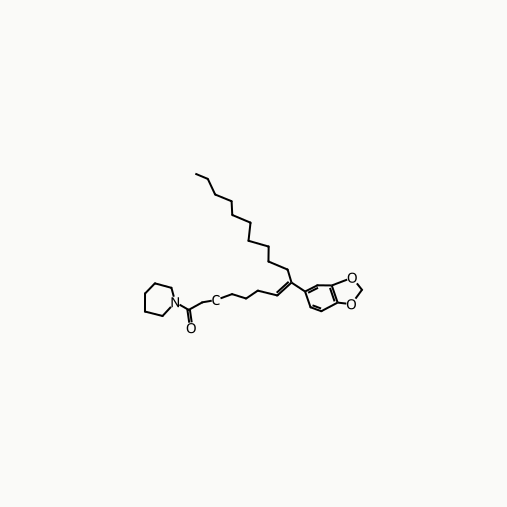 CCCCCCCCCCC(=CCCCCCC(=O)N1CCCCC1)c1ccc2c(c1)OCO2